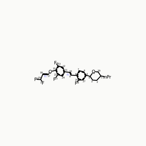 CCCC1CCC(c2ccc(/C=C/c3cc(F)c(O/C=C/C(F)F)c(F)c3)c(F)c2)OC1